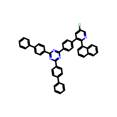 Clc1cnc(-c2cccc3ccccc23)c(-c2ccc(-c3nc(-c4ccc(-c5ccccc5)cc4)nc(-c4ccc(-c5ccccc5)cc4)n3)cc2)c1